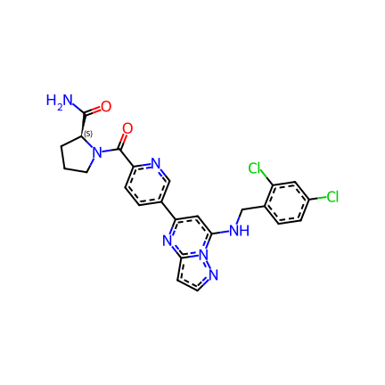 NC(=O)[C@@H]1CCCN1C(=O)c1ccc(-c2cc(NCc3ccc(Cl)cc3Cl)n3nccc3n2)cn1